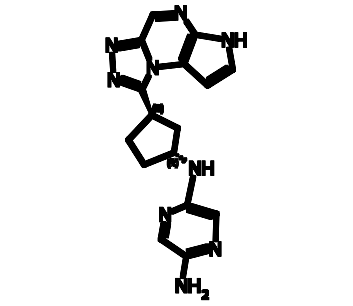 Nc1cnc(N[C@@H]2CC[C@@H](c3nnc4cnc5[nH]ccc5n34)C2)cn1